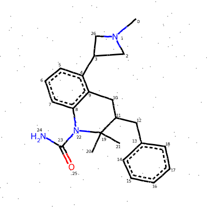 CN1CC(c2cccc3c2CC(Cc2ccccc2)C(C)(C)N3C(N)=O)C1